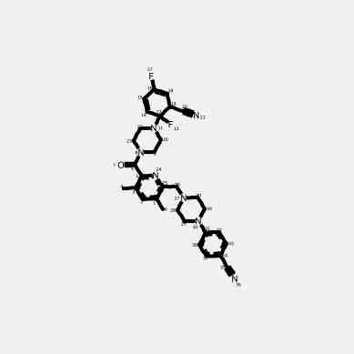 Cc1cc(C)c(C(=O)N2CCN(C3(F)C=CC(F)=CC3C#N)CC2)nc1CN1CCN(c2ccc(C#N)cc2)CC1